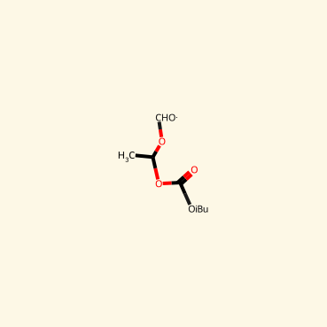 CC(C)COC(=O)OC(C)O[C]=O